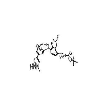 CN1C=C(c2cc3c(-c4ccc(CNC(=O)OC(C)(C)C)c(CC(F)F)c4F)ncnn3c2)CN1